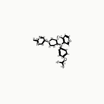 CCc1ccncc1N(c1ccc(OC(F)F)cc1)C1CCN(c2cnc(C)nc2)CC1